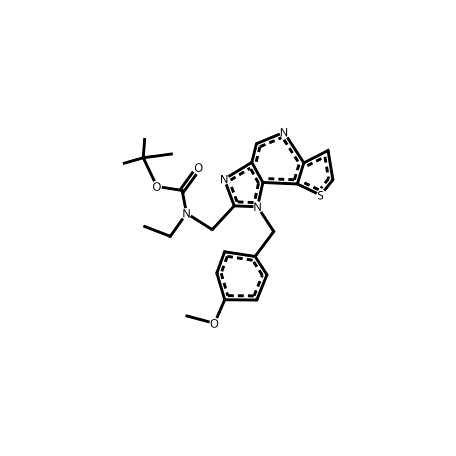 CCN(Cc1nc2cnc3ccsc3c2n1Cc1ccc(OC)cc1)C(=O)OC(C)(C)C